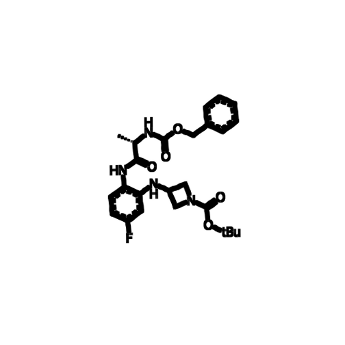 C[C@H](NC(=O)OCc1ccccc1)C(=O)Nc1ccc(F)cc1NC1CN(C(=O)OC(C)(C)C)C1